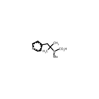 CC(C)(C)N(C(=O)O)C(C)(C)Cc1ccncc1